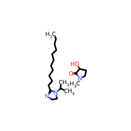 CCCCCCCCCCCC1=NCCN1C(C)C.CN1CCC(O)C1=O